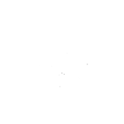 CCC1CC1N(C)S(C)(=O)=O